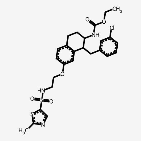 CCOC(=O)NC1CCc2ccc(OCCNS(=O)(=O)c3cnc(C)s3)cc2C1Cc1cccc(Cl)c1